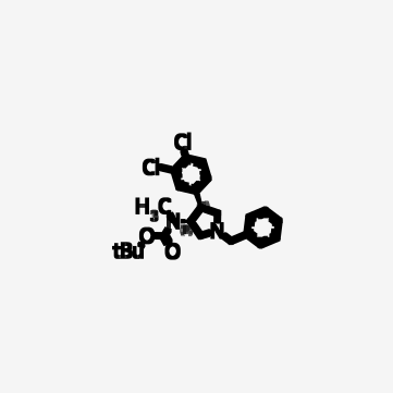 CN(C(=O)OC(C)(C)C)[C@H]1CN(Cc2ccccc2)C[C@@H]1c1ccc(Cl)c(Cl)c1